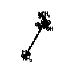 Cc1ncsc1-c1ccc(CNC(=O)[C@@H]2C[C@@H](O)CN2C(=O)[C@H](NC(=O)CCCCCCCCCCCCCCCCCCCNC(=O)CCC(N)=O)C(C)(C)C)cc1